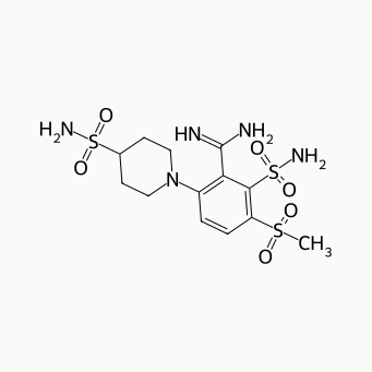 CS(=O)(=O)c1ccc(N2CCC(S(N)(=O)=O)CC2)c(C(=N)N)c1S(N)(=O)=O